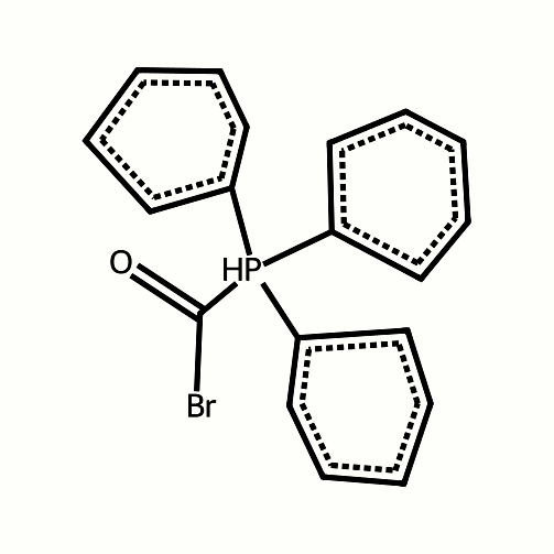 O=C(Br)[PH](c1ccccc1)(c1ccccc1)c1ccccc1